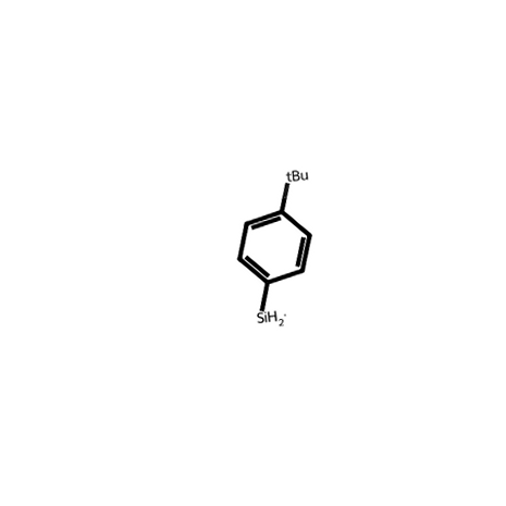 CC(C)(C)c1ccc([SiH2])cc1